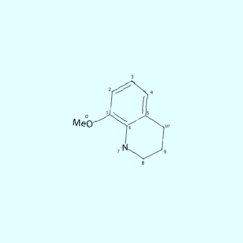 COc1cccc2c1[N]CCC2